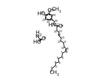 CCCCCCCC/C=C\CCCCCCCC(=O)NCc1ccc(O)c(OC)c1.NC(=O)O